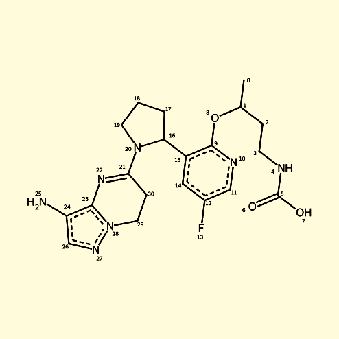 CC(CCNC(=O)O)Oc1ncc(F)cc1C1CCCN1C1=Nc2c(N)cnn2CC1